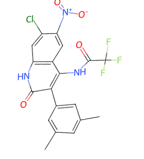 Cc1cc(C)cc(-c2c(NC(=O)C(F)(F)F)c3cc([N+](=O)[O-])c(Cl)cc3[nH]c2=O)c1